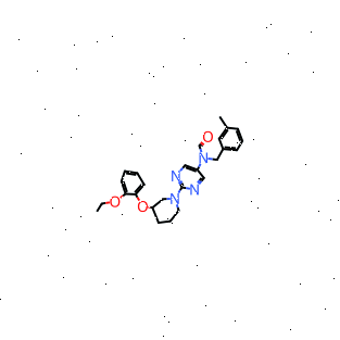 CCOc1ccccc1OC1CCCN(c2ncc(N(C=O)Cc3cccc(C)c3)cn2)C1